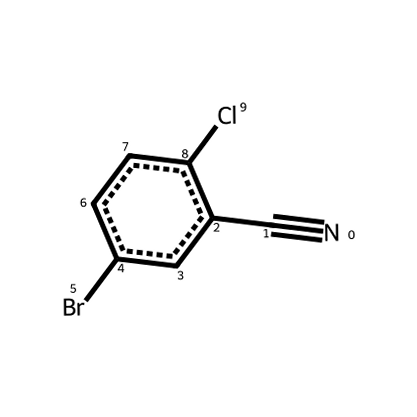 N#Cc1cc(Br)ccc1Cl